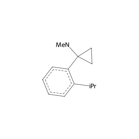 CNC1(c2ccccc2C(C)C)CC1